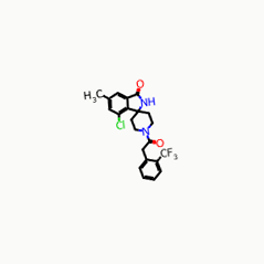 Cc1cc(Cl)c2c(c1)C(=O)NC21CCN(C(=O)Cc2ccccc2C(F)(F)F)CC1